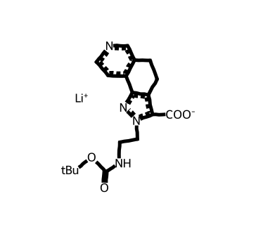 CC(C)(C)OC(=O)NCCn1nc2c(c1C(=O)[O-])CCc1cnccc1-2.[Li+]